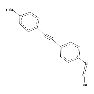 CCCCc1ccc(C#Cc2ccc(N=C=[Se])cc2)cc1